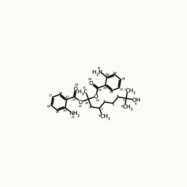 CC(CCCC(C)(C)O)CC(C)(OC(=O)c1ccccc1N)OC(=O)c1ccccc1N